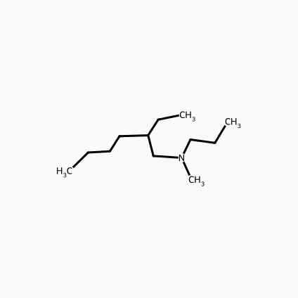 CCCCC(CC)CN(C)CCC